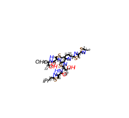 Cc1csc(-c2csc(-c3ccc(-c4nc(C(=O)N[C@H](C=O)[C@@H](C)O)cs4)c(-c4csc([C@@H](NC(=O)c5csc(CC(C)C)n5)[C@@H](C)O)n4)n3)n2)n1